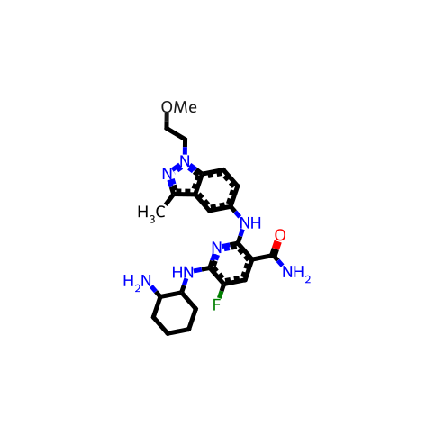 COCCn1nc(C)c2cc(Nc3nc(NC4CCCCC4N)c(F)cc3C(N)=O)ccc21